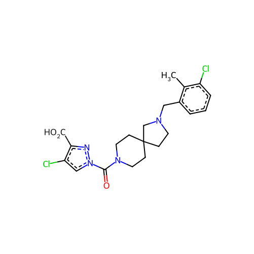 Cc1c(Cl)cccc1CN1CCC2(CCN(C(=O)n3cc(Cl)c(C(=O)O)n3)CC2)C1